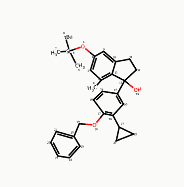 Cc1cc(O[Si](C)(C)C(C)(C)C)cc2c1C(O)(c1ccc(OCc3ccccc3)c(C3CC3)c1)CC2